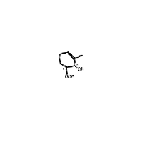 CO[C@H]1CCC=C(C)[C@H]1O